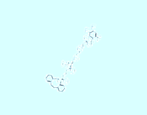 O=C(CCCC(=O)N1Cc2ccccc2/C=C\c2ccccc21)NCCOCCOCCC(=O)Oc1c(F)c(F)cc(F)c1F